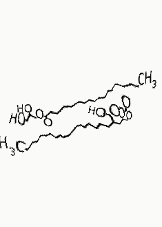 CCCCCCCCCCCCCCCCC(CC1COC(=O)O1)C(=O)O.CCCCCCCCCCCCCCCCCC(=O)OCC(O)CO